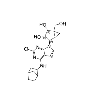 OCC12CC1[C@@H](n1cnc3c(NC4CC5CCC4C5)nc(Cl)nc31)[C@H](O)[C@@H]2O